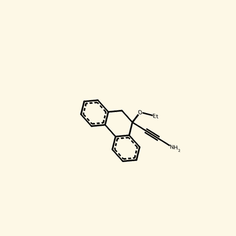 CCOC1(C#CN)Cc2ccccc2-c2ccccc21